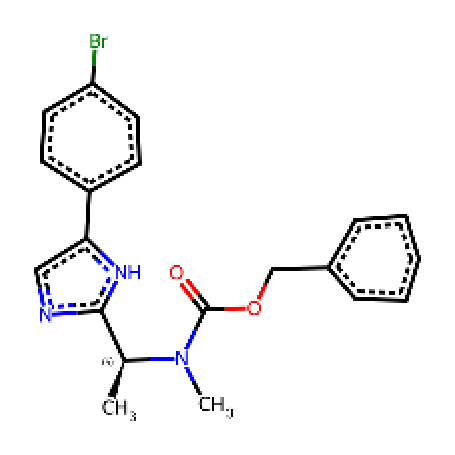 C[C@@H](c1ncc(-c2ccc(Br)cc2)[nH]1)N(C)C(=O)OCc1ccccc1